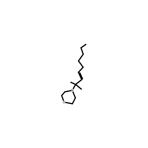 CCCCCC=CC(C)(C)N1CCOCC1